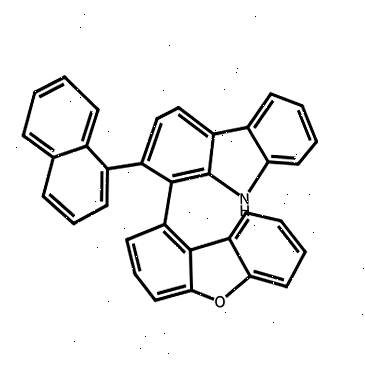 c1ccc2c(-c3ccc4c([nH]c5ccccc54)c3-c3cccc4oc5ccccc5c34)cccc2c1